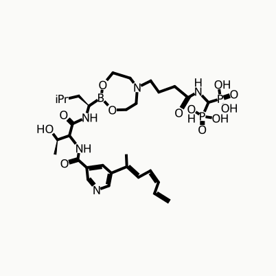 C=C/C=C\C=C(/C)c1cncc(C(=O)NC(C(=O)N[C@@H](CC(C)C)B2OCCN(CCCC(=O)NC(P(=O)(O)O)P(=O)(O)O)CCO2)[C@@H](C)O)c1